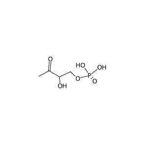 CC(=O)C(O)COP(=O)(O)O